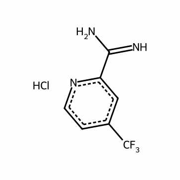 Cl.N=C(N)c1cc(C(F)(F)F)ccn1